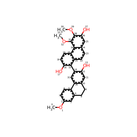 COc1ccc2c(c1)CCc1cc(O)c(-c3c(O)ccc4c3ccc3cc(O)c(OC)c(OC)c34)cc1-2